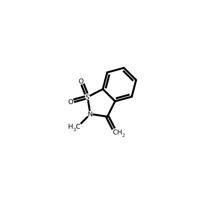 C=C1c2ccccc2S(=O)(=O)N1C